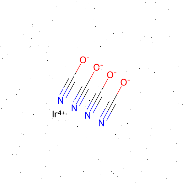 N#C[O-].N#C[O-].N#C[O-].N#C[O-].[Ir+4]